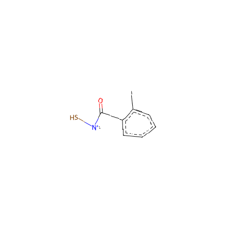 Cc1ccccc1C(=O)[N+]S